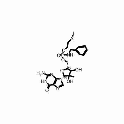 CC1(O)C(O)[C@@H](COP(=O)(NCc2ccccc2)OCCSI)O[C@H]1n1cnc2c(=O)[nH]c(N)nc21